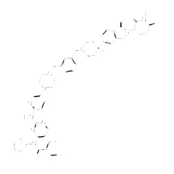 CC(=O)c1c(C)c2cnc(Nc3ccc(N4CCN(Cc5cccc(CN6CCC(F)(c7ccc8c(c7)CN(C7CCC(=O)NC7=O)C8=O)CC6)c5)CC4)cn3)nc2n(C2CCCC2)c1=O